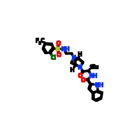 CC(C)(C)[C@H](NC(=O)c1cc2ccccc2[nH]1)C(=O)N1C[C@@H]2C[C@H]1CN2CCNS(=O)(=O)c1cc(C(F)(F)F)ccc1Cl